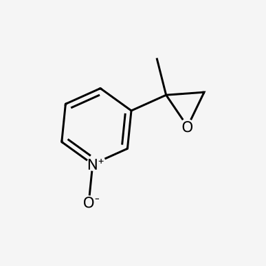 CC1(c2ccc[n+]([O-])c2)CO1